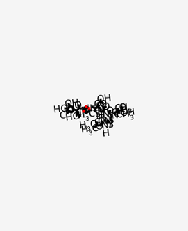 C[C@@H]1S[C@@H]2[C@H](NC(=O)/C(=N\OC(C)(C)C(=O)O)c3csc(NC(=O)OC(C)(C)C)n3)C(=O)N2C(OC(=O)O)=C1C[N+]12CCC(CC1)N(C(=O)C(=NO)c1cc(O)c(O)c(Cl)c1)CC2